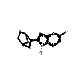 Cl.Fc1ccc2oc(C3CC4CCC3N4)cc2n1